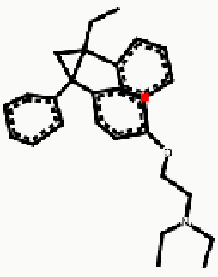 CCN(CC)CCOc1ccc(C2(c3ccccc3)CC2(CC)c2ccccc2)cc1